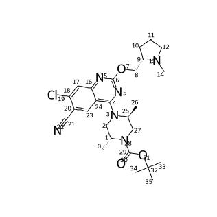 C[C@@H]1CN(c2nc(OC[C@@H]3CCCN3C)nc3cc(Cl)c(C#N)cc23)[C@@H](C)CN1C(=O)OC(C)(C)C